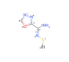 CCS/N=C(\N)c1nnco1